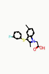 Cc1ccc2c(c1)c(Sc1cccc(F)c1)c(C)n2CC(=O)O